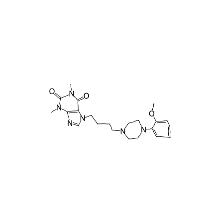 COc1ccccc1N1CCN(CCCCn2cnc3c2c(=O)n(C)c(=O)n3C)CC1